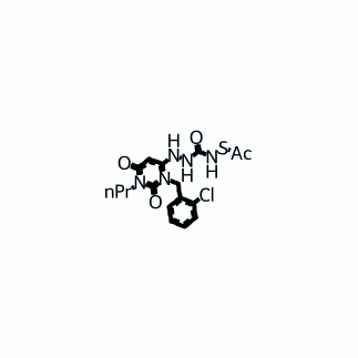 CCCn1c(=O)cc(NNC(=O)NSC(C)=O)n(Cc2ccccc2Cl)c1=O